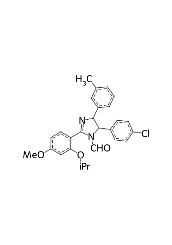 COc1ccc(C2=NC(c3cccc(C)c3)C(c3ccc(Cl)cc3)N2C=O)c(OC(C)C)c1